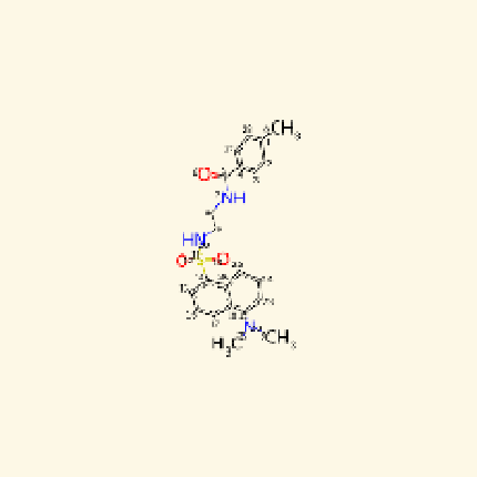 Cc1ccc(C(=O)NCCNS(=O)(=O)c2cccc3c(N(C)C)cccc23)cc1